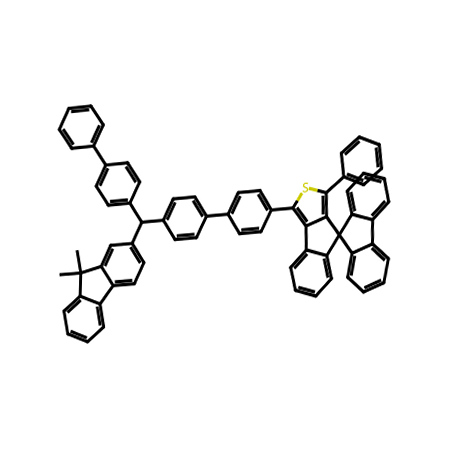 CC1(C)c2ccccc2-c2ccc(C(c3ccc(-c4ccccc4)cc3)c3ccc(-c4ccc(-c5sc(-c6ccccc6)c6c5-c5ccccc5C65c6ccccc6-c6ccccc65)cc4)cc3)cc21